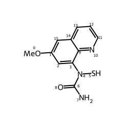 COc1cc(N(S)C(N)=O)c2ncccc2c1